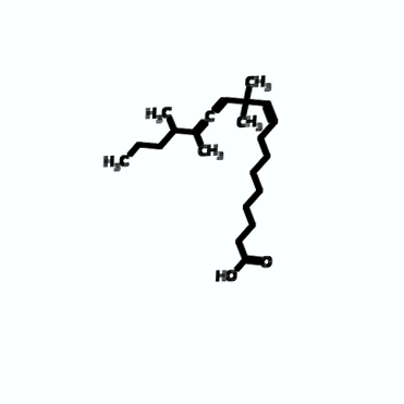 CCCC(C)C(C)=C=CC(C)(C)/C=C\CCCCCCCC(=O)O